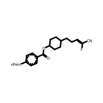 CCCCCc1ccc(C(=O)OC2CCC(CCC=C(F)C#N)CC2)cc1